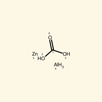 O=C(O)O.[AlH3].[Zn]